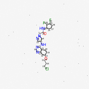 O=C(Cn1cc(Nc2ncnc3cc(OCCCCl)ccc23)cn1)Nc1cccc(F)c1F